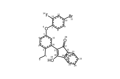 CCc1ccc(Oc2ccc(Br)cc2F)cc1C1=C(O)c2c(c3ccc2o3)C1=O